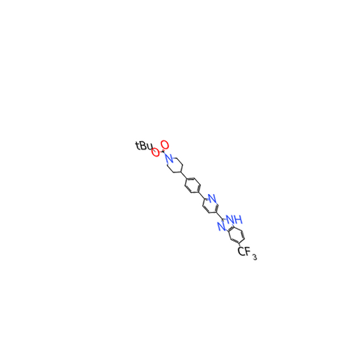 CC(C)(C)OC(=O)N1CCC(c2ccc(-c3ccc(-c4nc5cc(C(F)(F)F)ccc5[nH]4)cn3)cc2)CC1